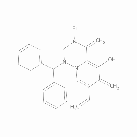 C=CC1=CN2C(=C(O)C1=C)C(=C)N(CC)CN2C(C1=CC=CCC1)c1ccccc1